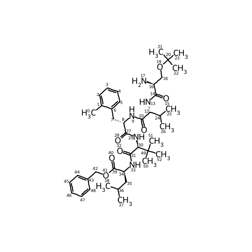 Cc1ccccc1C[C@H](NC(=O)[C@H](NC(=O)[C@@H](N)COC(C)(C)C)C(C)C)C(=O)N[C@H](C(=O)N[C@@H](CC(C)C)C(=O)OCc1ccccc1)C(C)(C)C